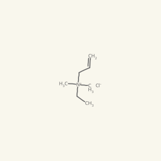 C=CC[N+](C)(C)CC.[Cl-]